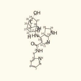 O=C(NCc1ccccn1)c1cnc2c(c1N[C@H]1[C@@H]3CC4C[C@H]1C[C@@](O)(C4)C3)CCN2